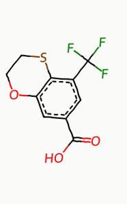 O=C(O)c1cc2c(c(C(F)(F)F)c1)SCCO2